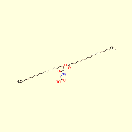 CCCCCCCCC=CCCCCCCCC(=O)OC(CCCCCCCC=CCCCCCCCC)CC(=O)NCC(=O)O